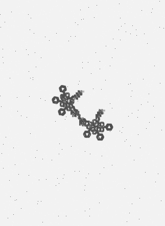 [N-]=[N+]=NCC1O[C@@H](OCc2cn(CCn3cc(CO[C@H]4O[C@@H](CN=[N+]=[N-])[C@H](OC(=O)c5ccccc5)[C@@H](OC(=O)c5ccccc5)[C@H]4OC(=O)c4ccccc4)nn3)nn2)[C@@H](OC(=O)c2ccccc2)[C@@H](OC(=O)c2ccccc2)[C@@H]1OC(=O)c1ccccc1